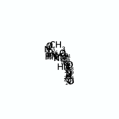 COc1cc(-c2cc(C(=O)N3CC[C@H](C(=O)N[C@H]4CCN([C@@H]5CCCOC5)C4)CC34CC4)n[nH]2)c(F)cn1